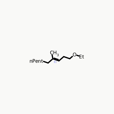 CCCCCC/C(C)=C/CCOCC